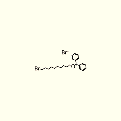 BrCCCCCCCCCCO[I+](c1ccccc1)c1ccccc1.[Br-]